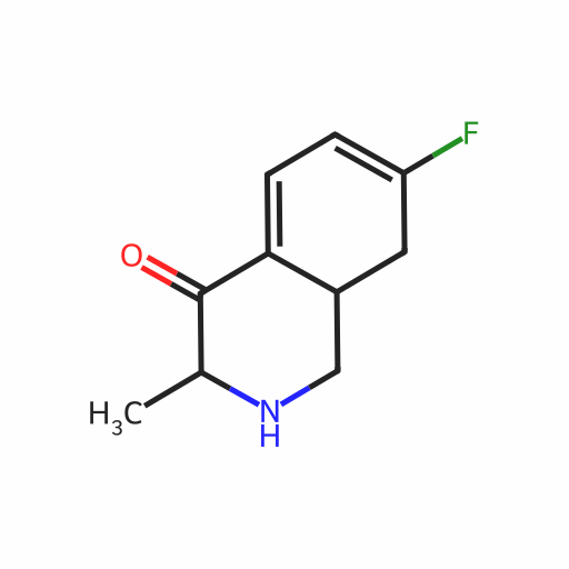 CC1NCC2CC(F)=CC=C2C1=O